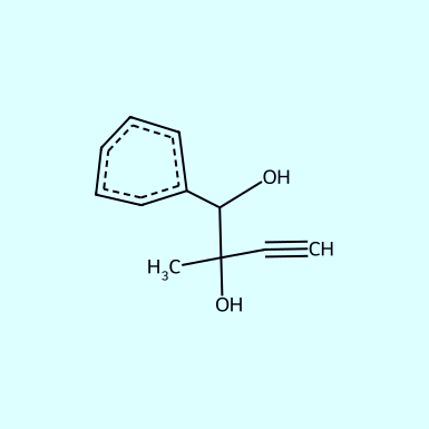 C#CC(C)(O)C(O)c1ccccc1